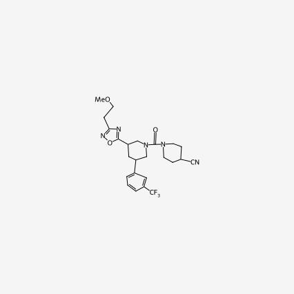 COCCc1noc(C2CC(c3cccc(C(F)(F)F)c3)CN(C(=O)N3CCC(C#N)CC3)C2)n1